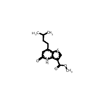 COC(=O)c1csc2c(CCC(C)C)cc(=O)[nH]c12